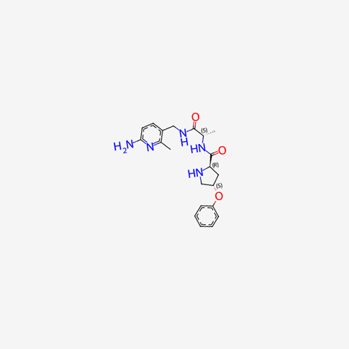 Cc1nc(N)ccc1CNC(=O)[C@H](C)NC(=O)[C@H]1C[C@H](Oc2ccccc2)CN1